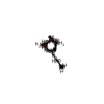 C[C@H]1NC(=O)[C@@H](NC(=O)COCCOCCOCCNC(=O)CCCCC2SC[C@@H]3NC(=O)N[C@H]23)Cc2cn(nn2)CCCC[C@@H](C(N)=O)NC(=O)[C@@H](CO)NC(=O)[C@H](Cc2cn(C)c3ccccc23)NC(=O)[C@@H](Cc2ccccc2)NC(=O)[C@@H](CCCNC(=N)N)NC1=O